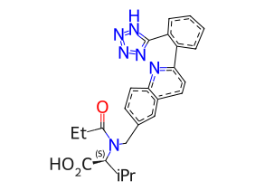 CCC(=O)N(Cc1ccc2nc(-c3ccccc3-c3nnn[nH]3)ccc2c1)[C@H](C(=O)O)C(C)C